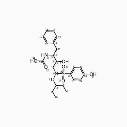 CCC(CC)ON(C[C@H](O)[C@H](Cc1ccccc1)NC(=O)O)S(=O)(=O)c1ccc(O)cc1